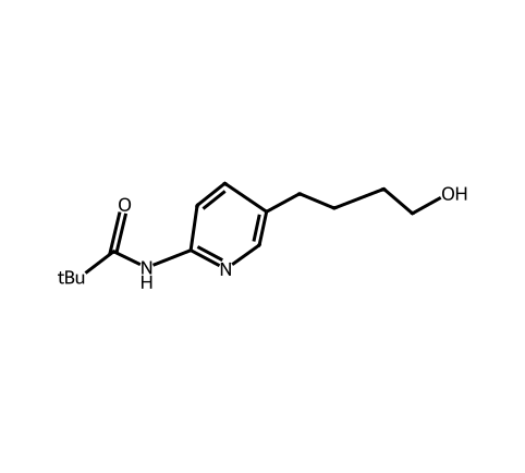 CC(C)(C)C(=O)Nc1ccc(CCCCO)cn1